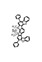 C[Si]1(C)c2cc(-c3ccccc3)c3c(oc4ccccc43)c2-c2ccc3c(c21)[Si](C)(C)c1cc(-c2ccccc2)c2oc4ccccc4c2c1-3